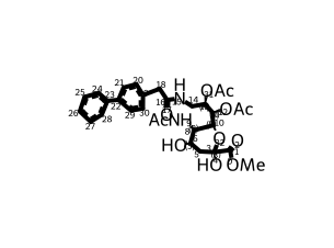 COC(=O)[C@@]1(O)C[C@H](O)[C@@H](NC(C)=O)[C@H]([C@H](OC(C)=O)[C@@H](CNC(=O)Cc2ccc(-c3ccccc3)cc2)OC(C)=O)O1